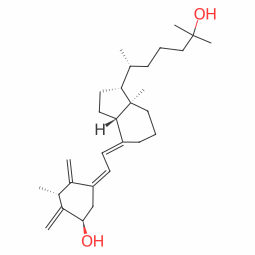 C=C1/C(=C\C=C2/CCC[C@]3(C)[C@@H]([C@H](C)CCCC(C)(C)O)CC[C@@H]23)C[C@@H](O)C(=C)[C@@H]1C